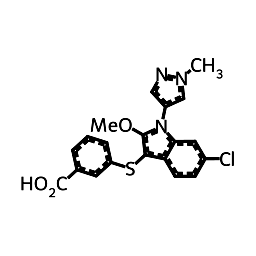 COc1c(Sc2cccc(C(=O)O)c2)c2ccc(Cl)cc2n1-c1cnn(C)c1